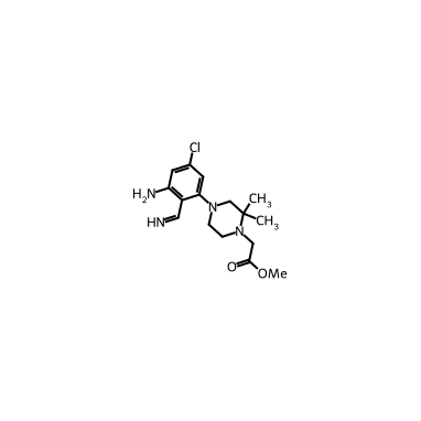 COC(=O)CN1CCN(c2cc(Cl)cc(N)c2C=N)CC1(C)C